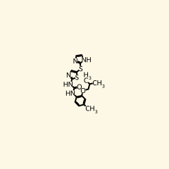 Cc1ccc(NC(=O)Nc2ncc(Sc3ncc[nH]3)s2)c(OCC(C)C)c1